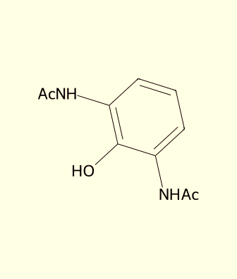 CC(=O)Nc1cccc(NC(C)=O)c1O